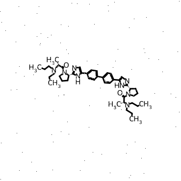 CCCN(CCC)[C@H](C)C(=O)N1CCC[C@H]1c1ncc(-c2ccc(-c3ccc(-c4cnc([C@@H]5CCCN5C(=O)[C@@H](C)N(CCC)CCC)[nH]4)cc3)cc2)[nH]1